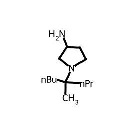 CCCCC(C)(CCC)N1CCC(N)C1